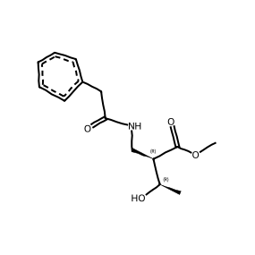 COC(=O)[C@H](CNC(=O)Cc1ccccc1)[C@@H](C)O